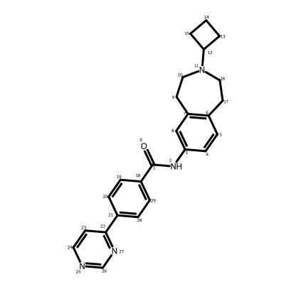 O=C(Nc1ccc2c(c1)CCN(C1CCC1)CC2)c1ccc(-c2ccncn2)cc1